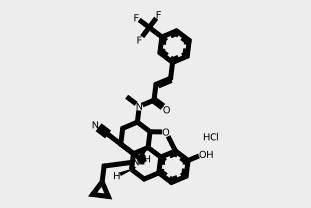 CN(C(=O)/C=C/c1cccc(C(F)(F)F)c1)C1CC[C@@]2(O)[C@H]3Cc4ccc(O)c5c4[C@@]2(CC(C#N)N3CC2CC2)C1O5.Cl